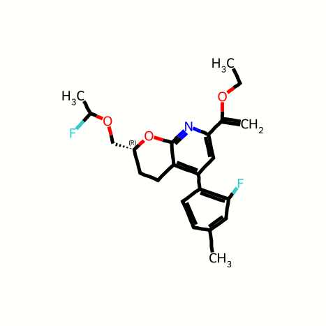 C=C(OCC)c1cc(-c2ccc(C)cc2F)c2c(n1)O[C@@H](COC(C)F)CC2